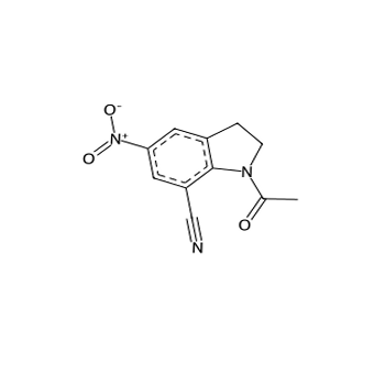 CC(=O)N1CCc2cc([N+](=O)[O-])cc(C#N)c21